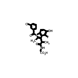 Cc1c(C(C)C(=O)NCC(=O)O)c2c(F)c(O)ccc2n1C(=O)c1cccc(Cl)c1